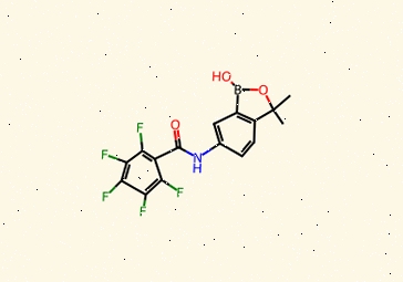 CC1(C)OB(O)c2cc(NC(=O)c3c(F)c(F)c(F)c(F)c3F)ccc21